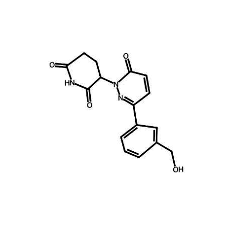 O=C1CCC(n2nc(-c3cccc(CO)c3)ccc2=O)C(=O)N1